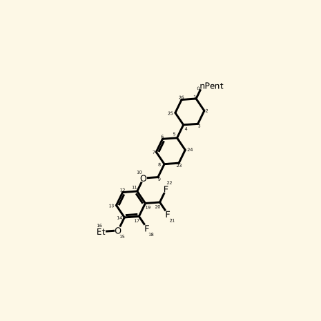 CCCCCC1CCC(C2C=CC(COc3ccc(OCC)c(F)c3C(F)F)CC2)CC1